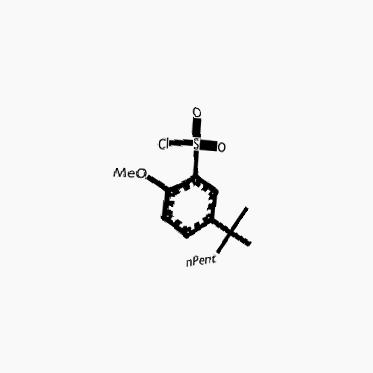 CCCCCC(C)(C)c1ccc(OC)c(S(=O)(=O)Cl)c1